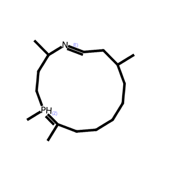 C/C1=[PH](\C)CCC(C)/N=C/CC(C)CCCCC1